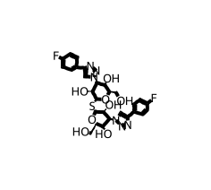 OC[C@H]1O[C@@H](S[C@@H]2O[C@H](CO)[C@H](O)[C@H](n3cc(-c4ccc(F)cc4)nn3)[C@H]2O)[C@H](O)[C@@H](n2cc(-c3ccc(F)cc3)nn2)[C@H]1O